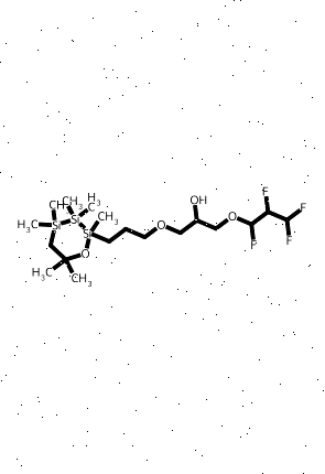 CC1(C)C[Si](C)(C)[Si](C)(C)[Si](C)(CCCOCC(O)COC(F)C(F)C(F)F)O1